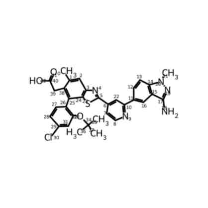 Cc1cc2nc(-c3ccnc(-c4ccc5c(c4)c(N)nn5C)c3)sc2c(-c2ccc(Cl)cc2OC(C)(C)C)c1CC(=O)O